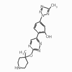 Cc1nnn(-c2ccc(-c3cnc(OC4(C)CCNCC4)nn3)c(O)c2)n1